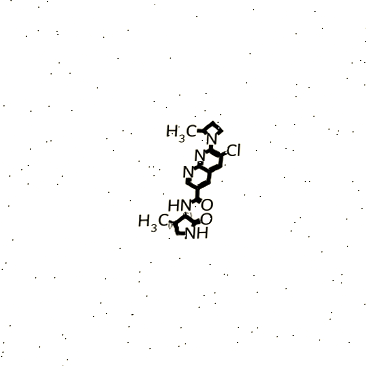 CC1CCN1c1nc2ncc(C(=O)N[C@@H]3C(=O)NC[C@H]3C)cc2cc1Cl